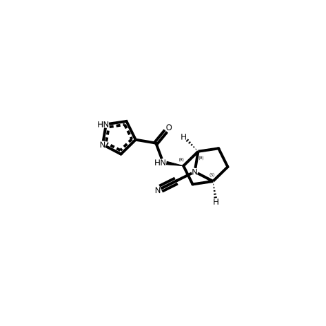 N#CN1[C@H]2CC[C@@H]1[C@H](NC(=O)c1cn[nH]c1)C2